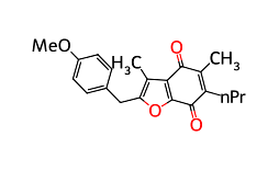 CCCC1=C(C)C(=O)c2c(oc(Cc3ccc(OC)cc3)c2C)C1=O